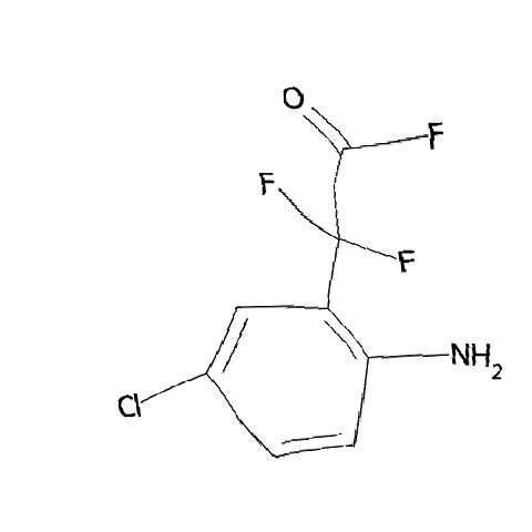 Nc1ccc(Cl)cc1C(F)(F)C(=O)F